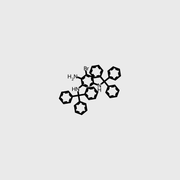 Nc1c(Br)cc(NC(c2ccccc2)(c2ccccc2)c2ccccc2)nc1NC(c1ccccc1)(c1ccccc1)c1ccccc1